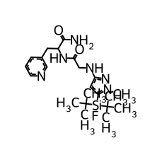 Cn1nc(NCC(=O)NC(Cc2cccnc2)C(N)=O)cc1[Si](F)(C(C)(C)C)C(C)(C)C